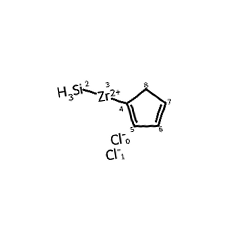 [Cl-].[Cl-].[SiH3][Zr+2][C]1=CC=CC1